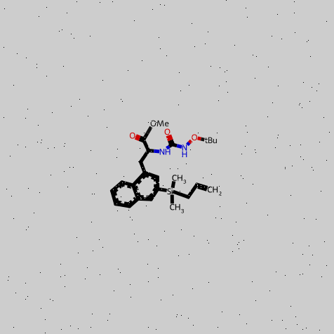 C=CC[Si](C)(C)c1cc(CC(NC(=O)NOC(C)(C)C)C(=O)OC)c2ccccc2c1